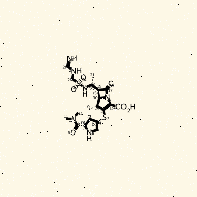 C[C@H]1C(S[C@@H]2CN[C@H](C(=O)N(C)C)C2)=C(C(=O)O)N2C(=O)[C@H]([C@@H](C)NS(=O)(=O)CNC=N)C12